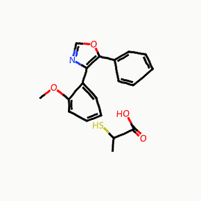 CC(S)C(=O)O.COc1ccccc1-c1ncoc1-c1ccccc1